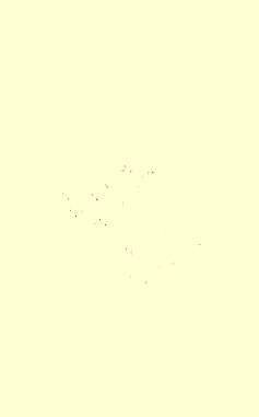 CCOCc1nnc(N2CC(N3CCOc4cc(C)ccc43)C2)n1-c1ccc(OC)nc1